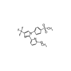 COc1cccc(-c2nc(C(F)(F)F)cn2-c2ccc(S(C)(=O)=O)cc2)n1